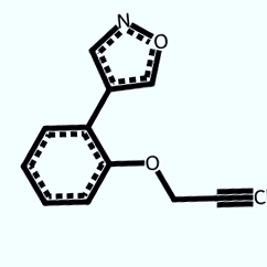 C#CCOc1ccccc1-c1cnoc1